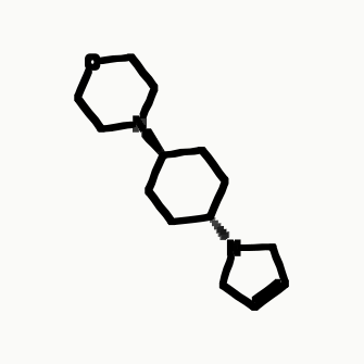 C1=CCN([C@H]2CC[C@H](N3CCOCC3)CC2)C1